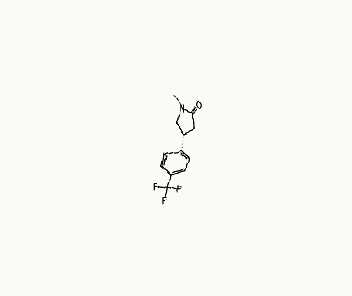 CN1C[C@@H](c2ccc(C(F)(F)F)cc2)CC1=O